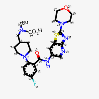 CC(C)(C)N(CC1CCN(c2ccc(F)cc2C(=O)Nc2cnc3nc(N4CCOCC4)sc3c2)CC1)C(=O)O